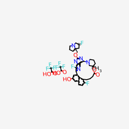 C[C@@]12CCCN(C1)c1nc(OC[C@@]34CCCN3C[C@H](F)C4)nc3c(F)c(ncc13)-c1cc(O)cc3ccc(F)c(c13)CCCC(=O)O2.O=C(O)C(F)(F)F.O=C(O)C(F)(F)F